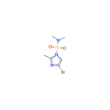 Cc1nc(Br)cn1S(=O)(=O)N(C)C